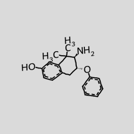 CC1(C)c2cc(O)ccc2C[C@@H](Oc2ccccc2)[C@@H]1N